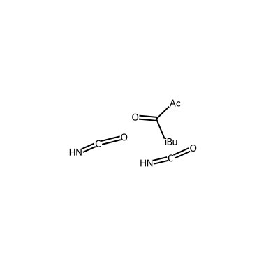 CCC(C)C(=O)C(C)=O.N=C=O.N=C=O